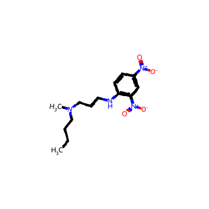 CCCCN(C)CCCNc1ccc([N+](=O)[O-])cc1[N+](=O)[O-]